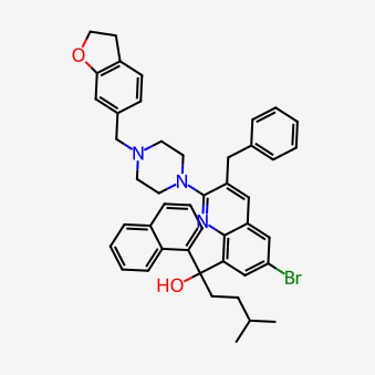 CC(C)CCC(O)(c1cccc2ccccc12)c1cc(Br)cc2cc(Cc3ccccc3)c(N3CCN(Cc4ccc5c(c4)OCC5)CC3)nc12